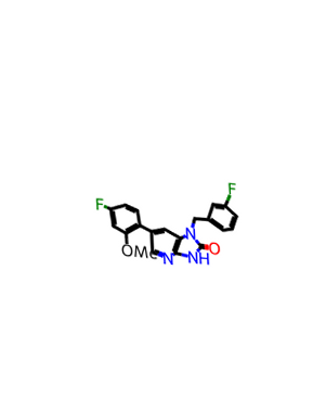 COc1cc(F)ccc1-c1cnc2[nH]c(=O)n(Cc3cccc(F)c3)c2c1